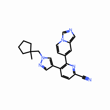 CC1(Cn2cc(-c3ccc(C#N)nc3-c3ccn4cncc4c3)cn2)CCCC1